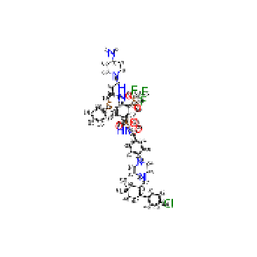 CN(C)C1CCN(CC[C@H](CSc2ccccc2)Nc2ccc(S(=O)(=O)NC(=O)c3ccc(N4CCN(CC5=C(c6ccc(Cl)cc6)CCC(C)(C)C5)CC4)cc3)cc2S(=O)(=O)C(F)(F)F)CC1